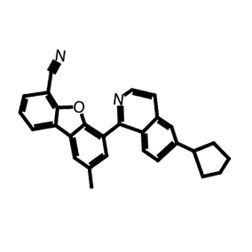 Cc1cc(-c2nccc3cc(C4CCCC4)ccc23)c2oc3c(C#N)cccc3c2c1